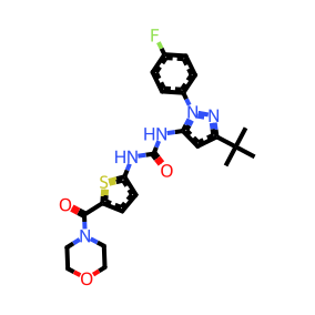 CC(C)(C)c1cc(NC(=O)Nc2ccc(C(=O)N3CCOCC3)s2)n(-c2ccc(F)cc2)n1